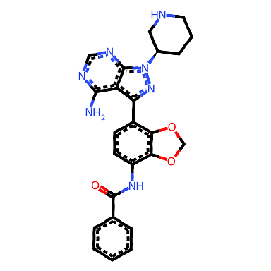 Nc1ncnc2c1c(-c1ccc(NC(=O)c3ccccc3)c3c1OCO3)nn2[C@@H]1CCCNC1